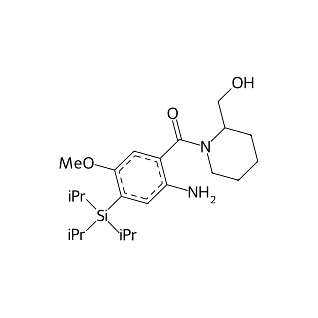 COc1cc(C(=O)N2CCCCC2CO)c(N)cc1[Si](C(C)C)(C(C)C)C(C)C